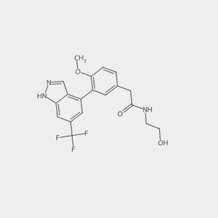 COc1ccc(CC(=O)NCCO)cc1-c1cc(C(F)(F)F)cc2[nH]ncc12